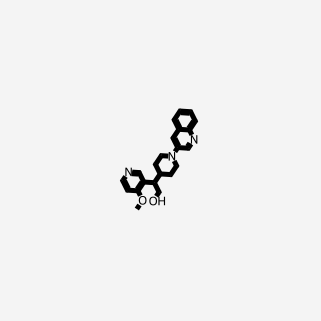 COc1ccncc1C(CO)C1CCN(c2cnc3ccccc3c2)CC1